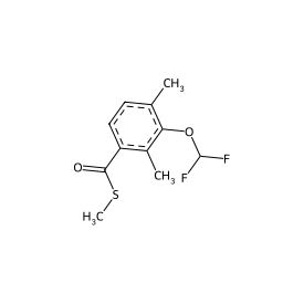 CSC(=O)c1ccc(C)c(OC(F)F)c1C